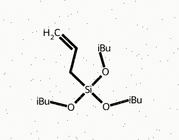 C=CC[Si](OC(C)CC)(OC(C)CC)OC(C)CC